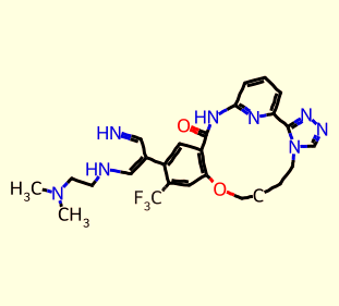 CN(C)CCN/C=C(\C=N)c1cc2c(cc1C(F)(F)F)OCCCCn1cnnc1-c1cccc(n1)NC2=O